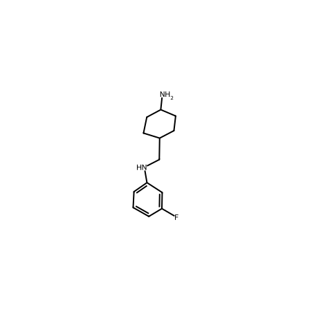 NC1CCC(CNc2cccc(F)c2)CC1